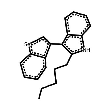 CCCCCc1[nH]c2ccccc2c1-c1c[se]c2ccccc12